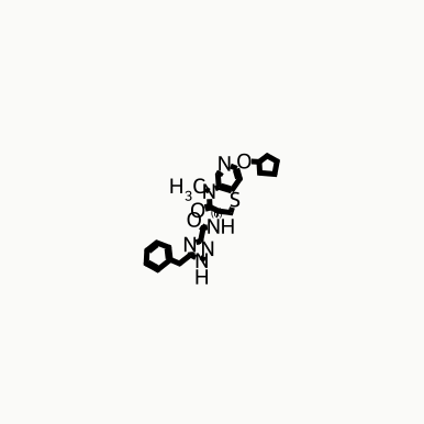 CN1C(=O)[C@@H](NC(=O)c2n[nH]c(Cc3ccccc3)n2)CSc2cc(OC3CCCC3)ncc21